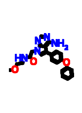 COCCNC(=O)Cn1cc(-c2ccc(Oc3ccccc3)cc2)c2c(N)ncnc21